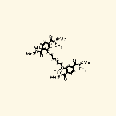 CON(C)C(=O)c1ccc(C(=O)N(C)OC)c(OCCOCCOc2cc(C(=O)N(C)OC)ccc2C(=O)N(C)OC)c1